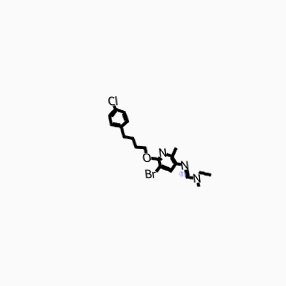 CCN(C)/C=N/c1cc(Br)c(OCCCCc2ccc(Cl)cc2)nc1C